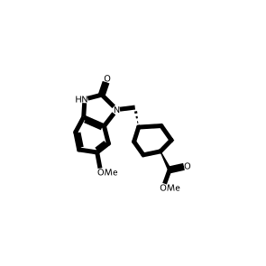 COc1ccc2[nH]c(=O)n(C[C@H]3CC[C@H](C(=O)OC)CC3)c2c1